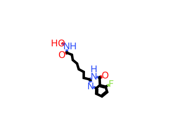 O=C(CCCCCCc1nc2cccc(F)c2c(=O)[nH]1)NO